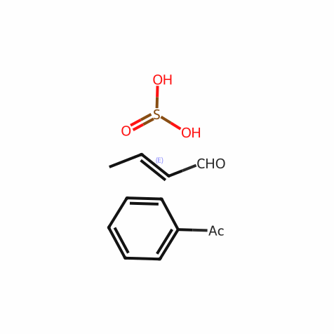 C/C=C/C=O.CC(=O)c1ccccc1.O=S(O)O